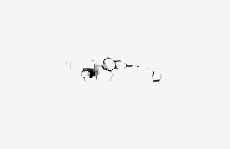 CC(C)(C)OC(=O)N1CCC(C[C@@H](O)COCc2ccccc2)CC1